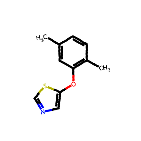 Cc1ccc(C)c(Oc2cncs2)c1